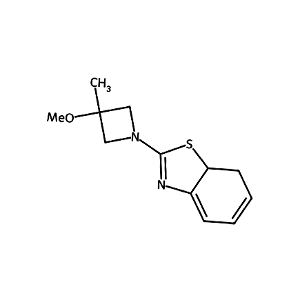 COC1(C)CN(C2=NC3=CC=CCC3S2)C1